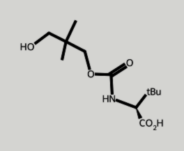 CC(C)(CO)COC(=O)N[C@H](C(=O)O)C(C)(C)C